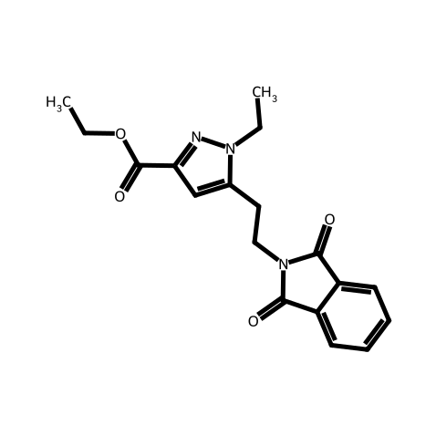 CCOC(=O)c1cc(CCN2C(=O)c3ccccc3C2=O)n(CC)n1